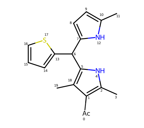 CC(=O)c1c(C)[nH]c(C(c2ccc(C)[nH]2)c2cccs2)c1C